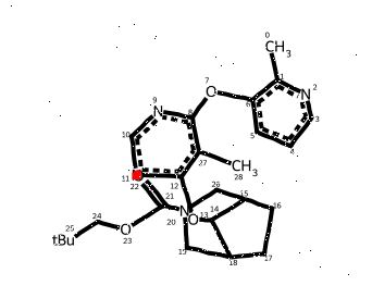 Cc1ncccc1Oc1ncnc(OC2C3CCC2CN(C(=O)OCC(C)(C)C)C3)c1C